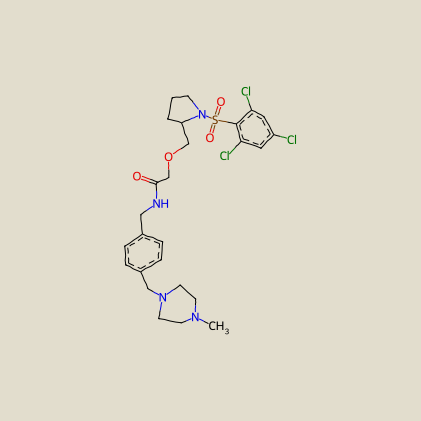 CN1CCN(Cc2ccc(CNC(=O)COCC3CCCN3S(=O)(=O)c3c(Cl)cc(Cl)cc3Cl)cc2)CC1